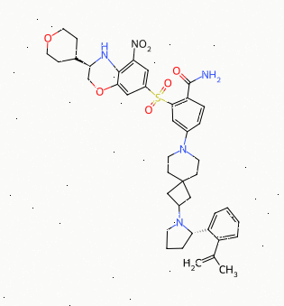 C=C(C)c1ccccc1[C@@H]1CCCN1C1CC2(CCN(c3ccc(C(N)=O)c(S(=O)(=O)c4cc5c(c([N+](=O)[O-])c4)N[C@H](C4CCOCC4)CO5)c3)CC2)C1